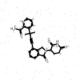 CC(C)(C#Cc1cccc2c1CN(C1CCC(=O)NC1=O)C2=O)c1cccnc1C(N)=O